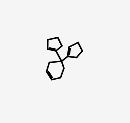 C1=CCC(C2=CCCC2)(C2=CCCC2)CC1